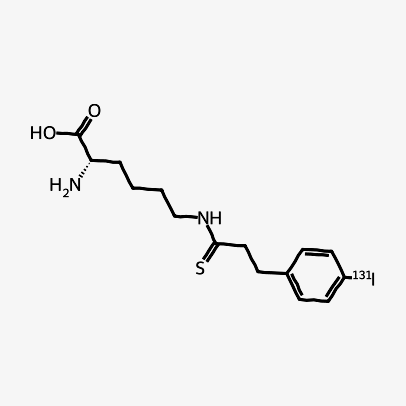 N[C@@H](CCCCNC(=S)CCc1ccc([131I])cc1)C(=O)O